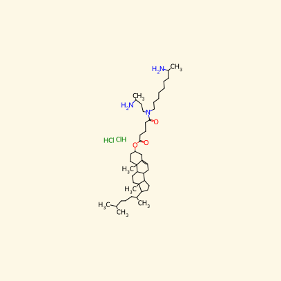 CC(C)CCCC(C)C1CCC2C3CC=C4CC(OC(=O)CCCC(=O)N(CCCCCCCC(C)N)CCC(C)N)CCC4(C)C3CCC12C.Cl.Cl